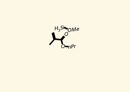 C=C(C)C(=O)OCCC.CO[SiH3]